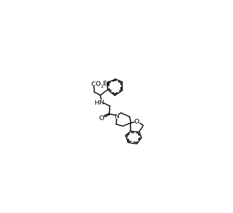 CCOC(=O)CC(NCC(=O)N1CCC2(CC1)OCc1ccccc12)c1ccccc1